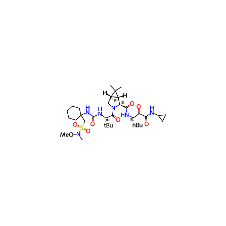 CCCC[C@H](NC(=O)[C@@H]1[C@@H]2[C@H](CN1C(=O)[C@@H](NC(=O)NC1(CS(=O)(=O)N(C)OC)CCCCC1)C(C)(C)C)C2(C)C)C(=O)C(=O)NC1CC1